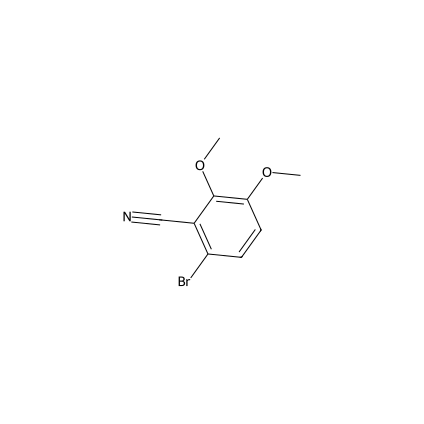 COc1ccc(Br)c(C#N)c1OC